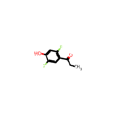 CCC(=O)c1cc(F)c(O)cc1F